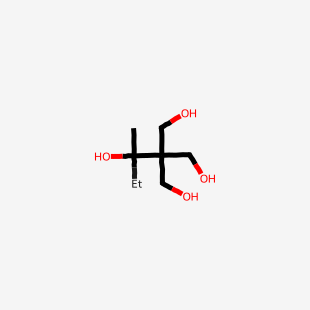 CCC(C)(O)C(CO)(CO)CO